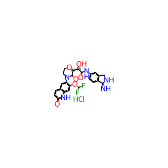 Cl.N=C1NCc2cc(NC(=O)[C@H](O)[C@H]3OCCN(c4cc5ccc(=O)[nH]c5cc4OC(F)F)C3=O)ccc21